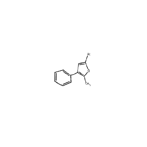 CC(=O)c1cc(-c2ccccc2)c(C)o1